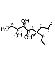 CCCC(C)(CCC)CC(O)C(O)C(O)CO